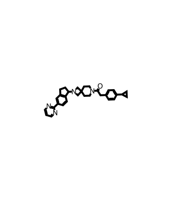 O=C(Cc1ccc(C2CC2)cc1)N1CCC2(CC1)CN(C1CCc3cc(-c4ncccn4)ccc31)C2